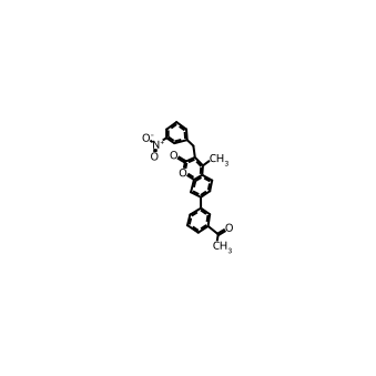 CC(=O)c1cccc(-c2ccc3c(C)c(Cc4cccc([N+](=O)[O-])c4)c(=O)oc3c2)c1